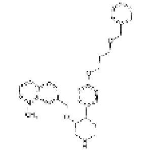 C[n+]1cccc2ccc(COC3CNCCC3c3ccc(OCCCOCc4ccccc4)cc3)cc21